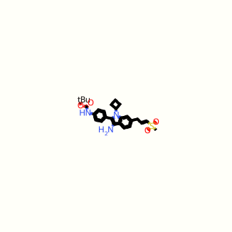 CC(C)(C)OC(=O)Nc1ccc(-c2c(N)c3ccc(C/C=C/S(C)(=O)=O)cc3n2C2CCC2)cc1